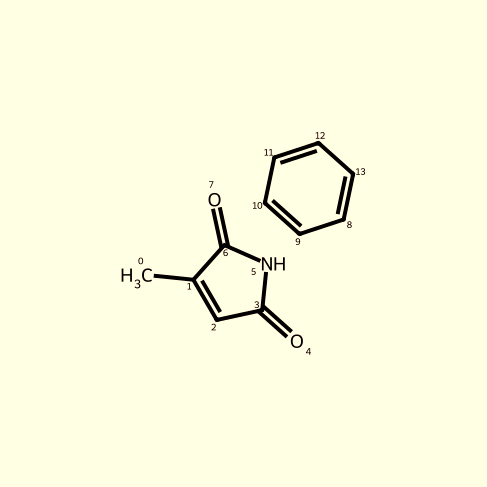 CC1=CC(=O)NC1=O.c1ccccc1